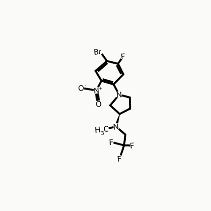 CN(CC(F)(F)F)[C@@H]1CCN(c2cc(F)c(Br)cc2[N+](=O)[O-])C1